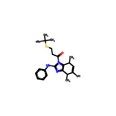 CCCCC(C)(C)SCCC(=O)n1c(Nc2ccccc2)nc2c1C(C)C=C(CCC)C2C